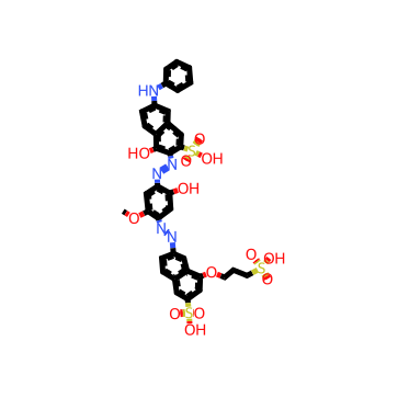 COc1cc(N=Nc2c(S(=O)(=O)O)cc3cc(Nc4ccccc4)ccc3c2O)c(O)cc1N=Nc1ccc2cc(S(=O)(=O)O)cc(OCCCS(=O)(=O)O)c2c1